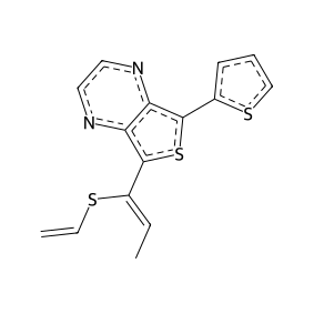 C=CS/C(=C\C)c1sc(-c2cccs2)c2nccnc12